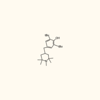 CN1C(C)(C)CC(Cc2cc(C(C)(C)C)c(O)c(C(C)(C)C)c2)CC1(C)C